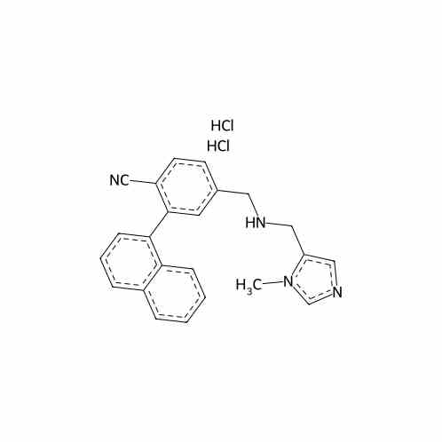 Cl.Cl.Cn1cncc1CNCc1ccc(C#N)c(-c2cccc3ccccc23)c1